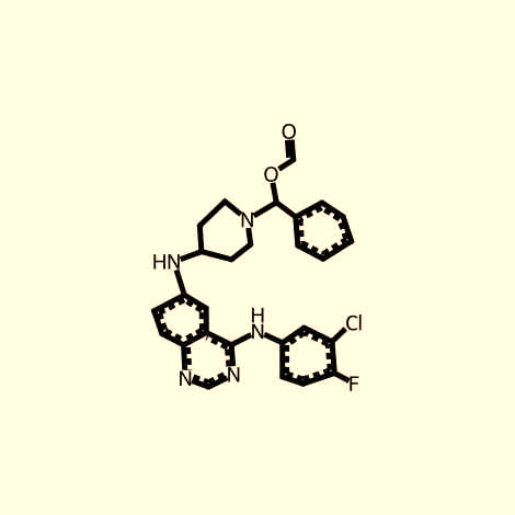 O=COC(c1ccccc1)N1CCC(Nc2ccc3ncnc(Nc4ccc(F)c(Cl)c4)c3c2)CC1